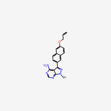 C=CCOc1ccc2cc(-c3nn(C(C)C)c4ncnc(N)c34)ccc2c1